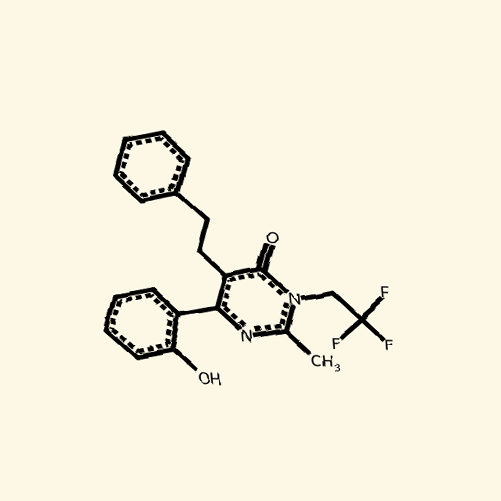 Cc1nc(-c2ccccc2O)c(CCc2ccccc2)c(=O)n1CC(F)(F)F